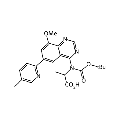 COc1cc(-c2ccc(C)cn2)cc2c(N(C(=O)OC(C)(C)C)C(C)C(=O)O)ncnc12